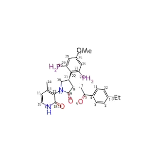 CCc1ccc(C(=O)C[C@@H]2C(=O)N(c3c(C)cc[nH]c3=O)C[C@H]2c2c(P)cc(OC)cc2P)cc1